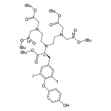 CC(C)(C)OC(=O)CN(CCN(CCN(CC(=O)OC(C)(C)C)C[PH](=O)OC(C)(C)C)[C@@H](Cc1cc(I)c(Oc2ccc(O)cc2)c(I)c1)C(=O)OC(C)(C)C)C[PH](=O)OC(C)(C)C